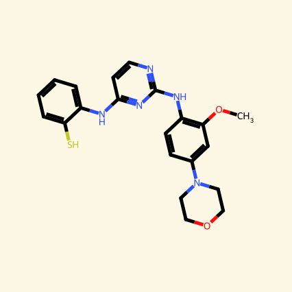 COc1cc(N2CCOCC2)ccc1Nc1nccc(Nc2ccccc2S)n1